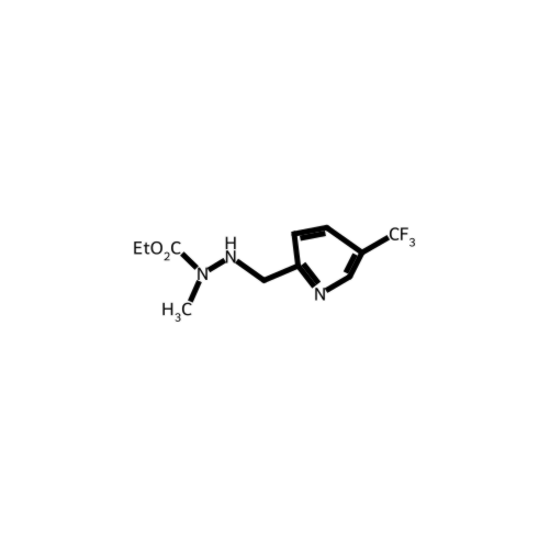 CCOC(=O)N(C)NCc1ccc(C(F)(F)F)cn1